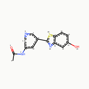 CC(=O)Nc1cncc(-c2nc3cc(O)ccc3s2)c1